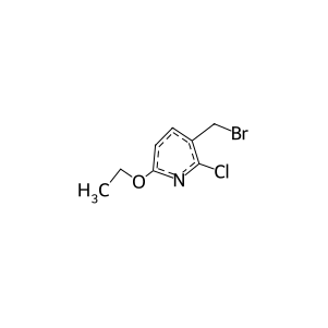 CCOc1ccc(CBr)c(Cl)n1